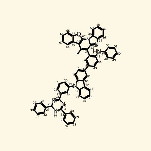 Cc1c(-c2cc(-c3ccc4c(c3)c3ccccc3n4-c3cccc(C4=NC(c5ccccc5)NC(c5ccccc5)=N4)c3)ccc2Nc2ccccc2)c2nc3ccccc3n2c2oc3ccccc3c12